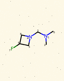 CN(C)CN1CC(F)C1